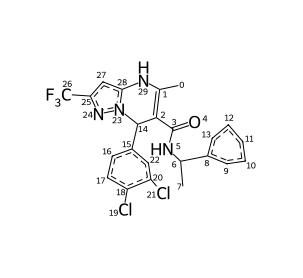 CC1=C(C(=O)NC(C)c2ccccc2)C(c2ccc(Cl)c(Cl)c2)n2nc(C(F)(F)F)cc2N1